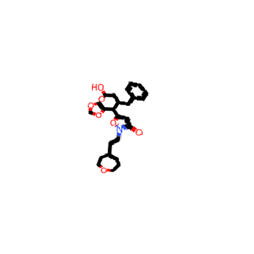 O=C(O)CC(Cc1ccccc1)C(C1=COCO1)c1cc(=O)n(CCC2=CCCOCC2)o1